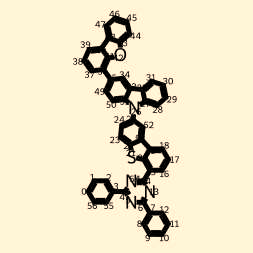 c1ccc(-c2nc(-c3ccccc3)nc(-c3cccc4c3sc3ccc(-n5c6ccccc6c6cc(-c7cccc8c7oc7ccccc78)ccc65)cc34)n2)cc1